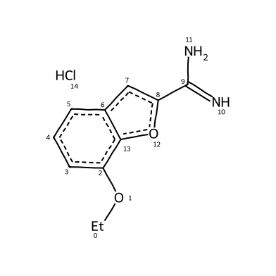 CCOc1cccc2cc(C(=N)N)oc12.Cl